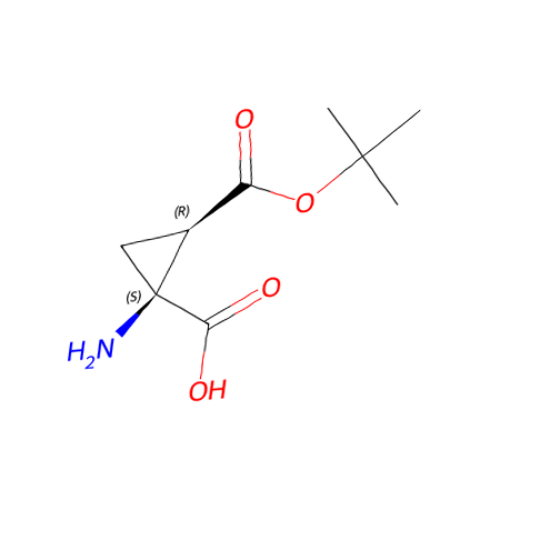 CC(C)(C)OC(=O)[C@@H]1C[C@@]1(N)C(=O)O